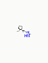 C=Cc1ccccc1/C=C/C=N/C(C)=N